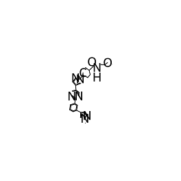 COCCNC(=O)C1CCC(n2cc(-c3cnc(-c4cccc(-c5cnn(C)c5)c4)nc3)cn2)CC1